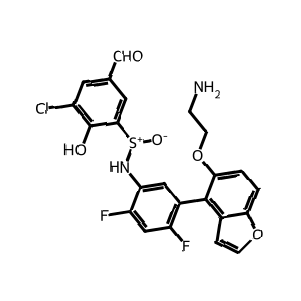 NCCOc1ccc2occc2c1-c1cc(N[S+]([O-])c2cc(C=O)cc(Cl)c2O)c(F)cc1F